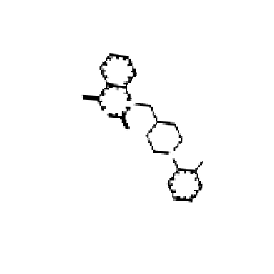 O=c1oc(=O)n(CC2CCN(c3ccccc3Cl)CC2)c2ccccc12